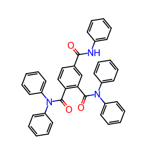 O=C(Nc1ccccc1)c1ccc(C(=O)N(c2ccccc2)c2ccccc2)c(C(=O)N(c2ccccc2)c2ccccc2)c1